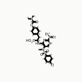 CCN(CC)c1ncc(N(C)S(=O)(=O)c2ccc(Cl)cc2)c(NC(Cc2ccc(OC(=O)N(C)C)cc2)C(=O)O)n1